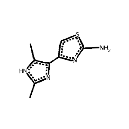 Cc1nc(-c2csc(N)n2)c(C)[nH]1